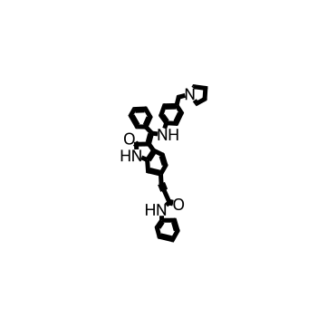 O=C(C#Cc1ccc2c(c1)NC(=O)C2=C(Nc1ccc(CN2CCCC2)cc1)c1ccccc1)Nc1ccccc1